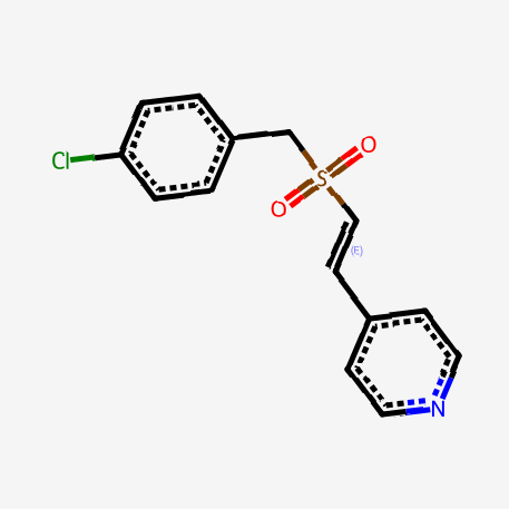 O=S(=O)(/C=C/c1ccncc1)Cc1ccc(Cl)cc1